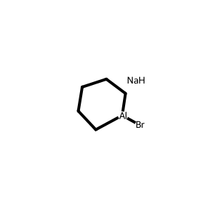 [Br][Al]1[CH2]CCC[CH2]1.[NaH]